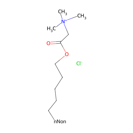 CCCCCCCCCCCCCCOC(=O)C[N+](C)(C)C.[Cl-]